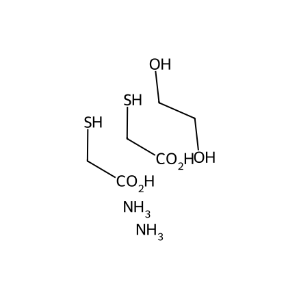 N.N.O=C(O)CS.O=C(O)CS.OCCO